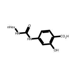 CCCCCCNC(=O)Nc1ccc(C(=O)O)c(O)c1